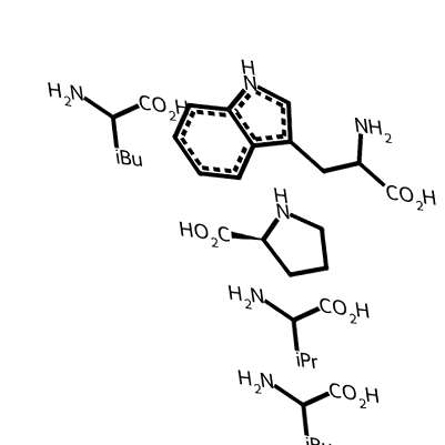 CC(C)C(N)C(=O)O.CCC(C)C(N)C(=O)O.CCC(C)C(N)C(=O)O.NC(Cc1c[nH]c2ccccc12)C(=O)O.O=C(O)[C@@H]1CCCN1